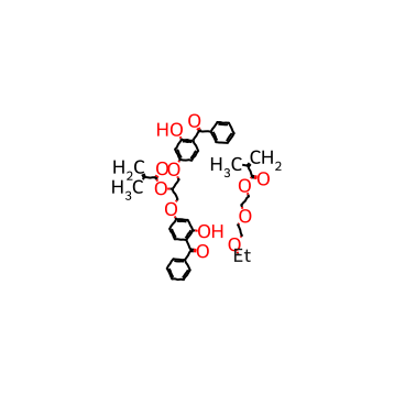 C=C(C)C(=O)OC(COc1ccc(C(=O)c2ccccc2)c(O)c1)COc1ccc(C(=O)c2ccccc2)c(O)c1.C=C(C)C(=O)OCCOCCOCC